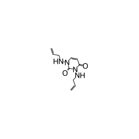 C=CCNn1ccc(=O)n(NCC=C)c1=O